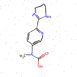 CN(C(=O)O)c1ccc(C2=NCCN2)nc1